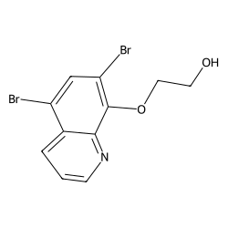 OCCOc1c(Br)cc(Br)c2cccnc12